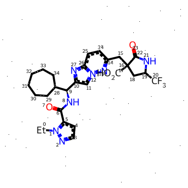 CCn1nccc1C(=O)N[C@H](c1cn2nc(CC3(C(=O)O)CC(C(F)(F)F)NC3=O)ccc2n1)C1CCCCCC1